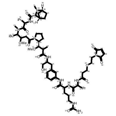 CCC(C)C(C(CC(=O)N1CCC[C@H]1C(OC)C(C)C(=O)NC(CO)Cc1cccc(NC(=O)C(CCCNC(N)=O)NC(=O)C(NC(=O)CCOCCN2C(=O)C=CC2=O)C(C)C)c1)OC)N(C)C(=O)C(NC(=O)[C@@H]1[C@H]2CC[C@H](C2)N1C)C(C)C